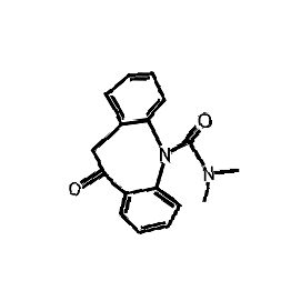 CN(C)C(=O)N1c2ccccc2CC(=O)c2ccccc21